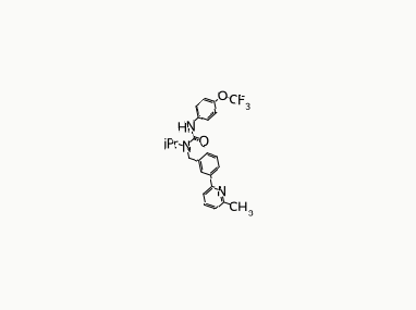 Cc1cccc(-c2cccc(CN(C(=O)Nc3ccc(OC(F)(F)F)cc3)C(C)C)c2)n1